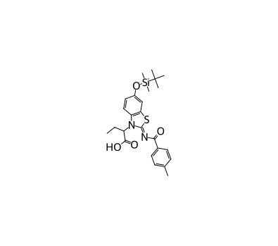 CCC(C(=O)O)n1c(=NC(=O)c2ccc(C)cc2)sc2cc(O[Si](C)(C)C(C)(C)C)ccc21